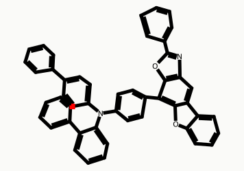 c1ccc(-c2ccc(N(c3ccc(-c4c5oc(-c6ccccc6)nc5cc5c4oc4ccccc45)cc3)c3ccccc3-c3ccccc3)cc2)cc1